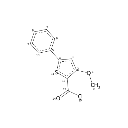 COc1cc(-c2ccccc2)sc1C(=O)Cl